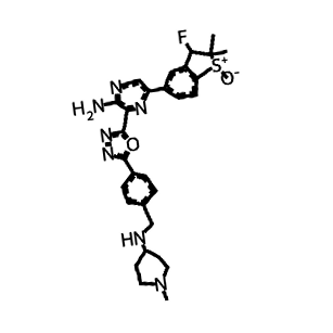 CN1CCC(NCc2ccc(-c3nnc(-c4nc(-c5ccc6c(c5)C(F)C(C)(C)[S+]6[O-])cnc4N)o3)cc2)CC1